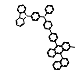 Cc1ccc2c(-c3ccc(-c4ccc(N(c5ccccc5)c5ccc(N6c7ccccc7C7C=CC=CC76)cc5)cc4)cc3)c3ccccc3c(-c3cccc4ccccc34)c2c1